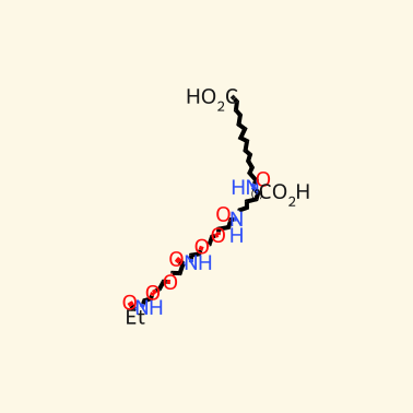 CCC(=O)NCCOCCOCCC(=O)NCCOCCOCCC(=O)NCCCC[C@H](NC(=O)CCCCCCCCCCCCC(=O)O)C(=O)O